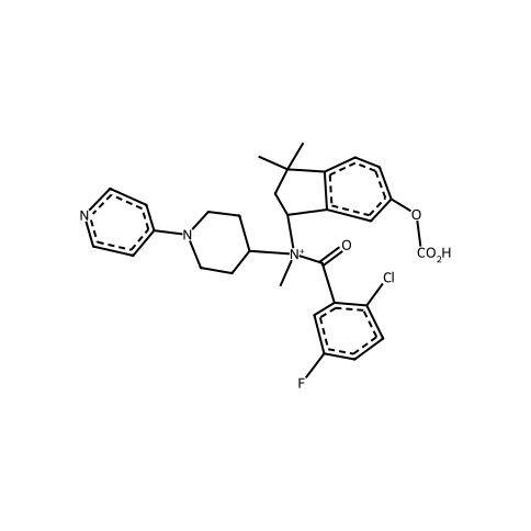 CC1(C)CC([N+](C)(C(=O)c2cc(F)ccc2Cl)C2CCN(c3ccncc3)CC2)c2cc(OC(=O)O)ccc21